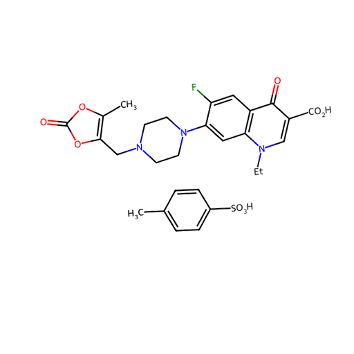 CCn1cc(C(=O)O)c(=O)c2cc(F)c(N3CCN(Cc4oc(=O)oc4C)CC3)cc21.Cc1ccc(S(=O)(=O)O)cc1